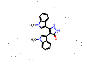 Cn1cc(-c2[nH][nH]c(=O)c2-c2cn(C)c3ccccc23)c2ccccc21